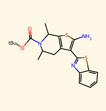 CC1Cc2c(sc(N)c2-c2nc3ccccc3s2)C(C)N1C(=O)OC(C)(C)C